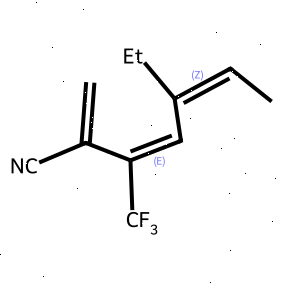 C=C(C#N)/C(=C\C(=C/C)CC)C(F)(F)F